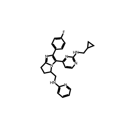 Fc1ccc(-c2nc3n(c2-c2ccnc(NCC4CC4)n2)C(CNc2ccccn2)CC3)cc1